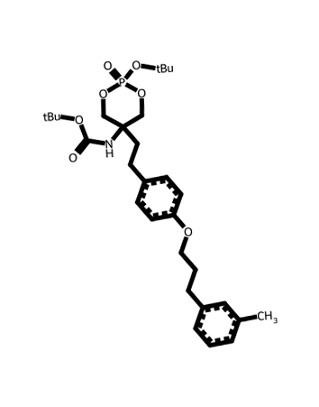 Cc1cccc(CCCOc2ccc(CCC3(NC(=O)OC(C)(C)C)COP(=O)(OC(C)(C)C)OC3)cc2)c1